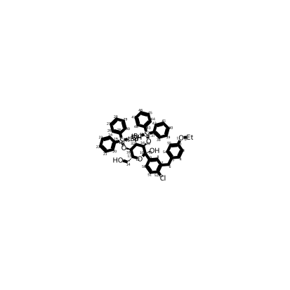 CCOc1ccc(Cc2cc([C@@]3(O)O[C@H](CO)[C@@H](O[Si](c4ccccc4)(c4ccccc4)C(C)(C)C)[C@H](O)[C@H]3O[Si](c3ccccc3)(c3ccccc3)C(C)(C)C)ccc2Cl)cc1